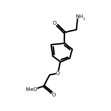 COC(=O)COc1ccc(C(=O)CN)cc1